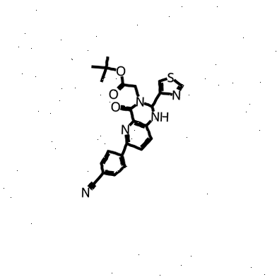 CC(C)(C)OC(=O)CN1C(=O)c2nc(-c3ccc(C#N)cc3)ccc2NC1c1cscn1